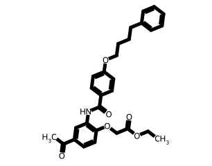 CCOC(=O)COc1ccc(C(C)=O)cc1NC(=O)c1ccc(OCCCCc2ccccc2)cc1